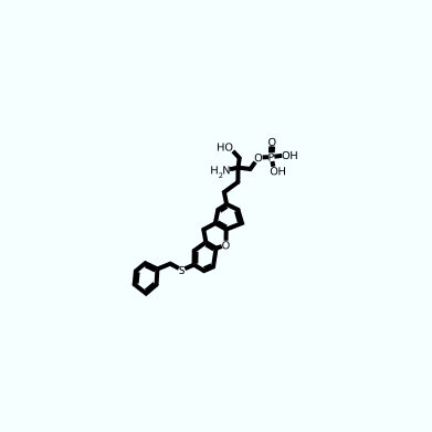 NC(CO)(CCc1ccc2c(c1)Cc1cc(SCc3ccccc3)ccc1O2)COP(=O)(O)O